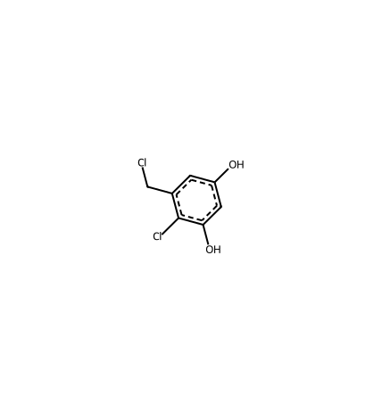 Oc1cc(O)c(Cl)c(CCl)c1